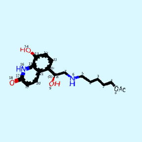 [CH2]C(=O)OCCCCCNC[C@@H](O)c1ccc(O)c2[nH]c(=O)ccc12